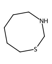 C1CCNCSCC1